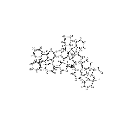 C/C=C1\C(=C/C)C2(c3ccccc31)c1ccccc1-c1ccc(N(c3ccc(-c4ccc5c(c4)C4(c6ccccc6-c6ccccc64)c4ccccc4-5)cc3)c3ccc4c(c3)C3(c5ccccc5-c5ccccc53)c3ccccc3-4)cc12